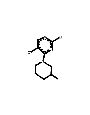 CC1CCCN(c2nc(Cl)ncc2Cl)C1